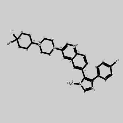 Cn1cnc(-c2ccc(F)cc2)c1-c1ccc2ncc(N3CCN(C4CCC(F)(F)CC4)CC3)cc2c1